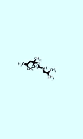 C=C(C)CC(C)(C)OCNCC(C)C